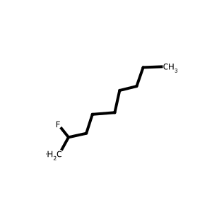 [CH2]C(F)CCCCCCC